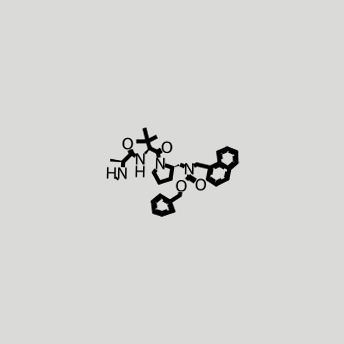 CN[C@@H](C)C(=O)N[C@H](C(=O)N1CCC[C@H]1CN(Cc1cccc2ccccc12)C(=O)OCc1ccccc1)C(C)(C)C